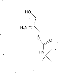 CC(C)(C)NC(=O)OCC(N)CO